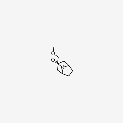 COCCN1C2CCC1CC(=O)C2